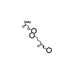 COC(=O)COc1cccc2c(CCC[S+]([O-])/C=C/c3ccccc3)cccc12